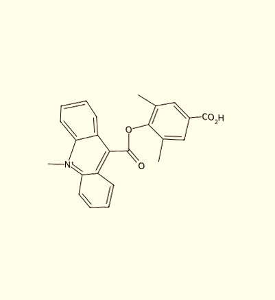 Cc1cc(C(=O)O)cc(C)c1OC(=O)c1c2ccccc2[n+](C)c2ccccc12